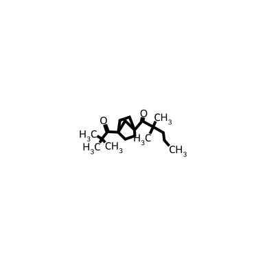 CCCC(C)(C)C(=O)C12CCC(C(=O)C(C)(C)C)(CC1)C2